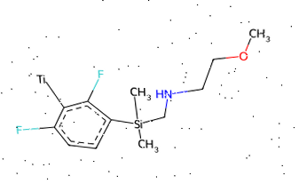 COCCNC[Si](C)(C)c1ccc(F)[c]([Ti])c1F